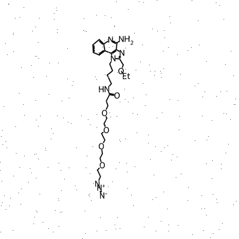 CCOCc1nc2c(N)nc3ccccc3c2n1CCCCNC(=O)CCOCCOCCOCCOCCN=[N+]=[N-]